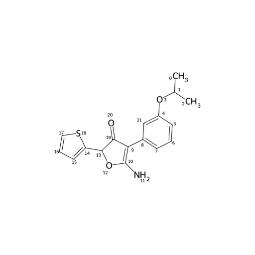 CC(C)Oc1cccc(C2=C(N)OC(c3cccs3)C2=O)c1